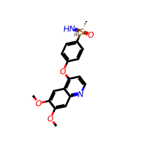 COc1cc2nccc(Oc3ccc([S@@](C)(=N)=O)cc3)c2cc1OC